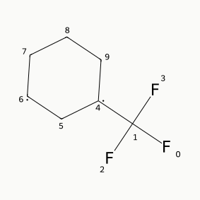 FC(F)(F)[C]1C[CH]CCC1